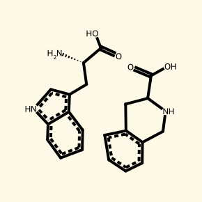 N[C@@H](Cc1c[nH]c2ccccc12)C(=O)O.O=C(O)C1Cc2ccccc2CN1